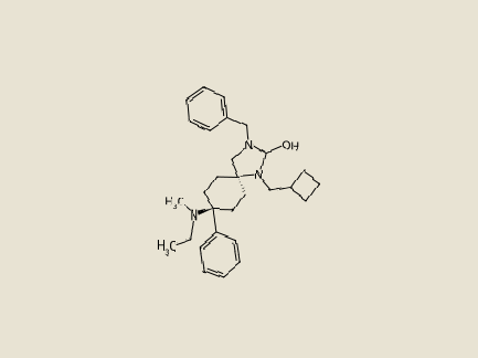 CCN(C)[C@]1(c2ccccc2)CC[C@]2(CC1)CN(Cc1ccccc1)C(O)N2CC1CCC1